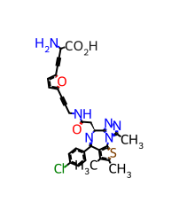 Cc1sc2c(c1C)C(c1ccc(Cl)cc1)=N[C@@H](CC(=O)NCC#Cc1ccc(C#CC(N)C(=O)O)o1)c1nnc(C)n1-2